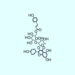 CC1OC(Oc2c(-c3ccc(O)cc3)oc3cc(O)cc(O)c3c2=O)C(OC2OC(COC(=O)C=Cc3ccc(O)cc3)C(O)C(O)C2O)C(O)C1O